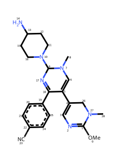 COC1=NC=C(C2=CN(C)C(N3CCC(N)CC3)N=C2c2ccc(C#N)cc2)CN1C